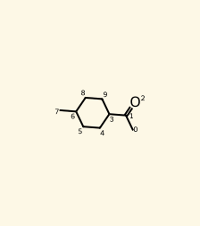 CC(=O)C1CCC(C)CC1